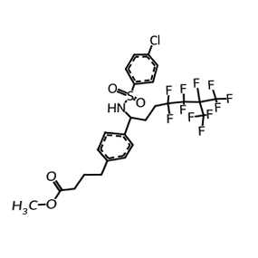 COC(=O)CCCc1ccc(C(CCC(F)(F)C(F)(F)C(F)(C(F)(F)F)C(F)(F)F)NS(=O)(=O)c2ccc(Cl)cc2)cc1